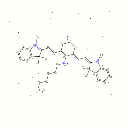 CCN1/C(=C/C=C2\CCCC(/C=C/C3=[N+](CC)c4ccccc4C3(C)C)=C2NCCCCCC(=O)O)C(C)(C)c2ccccc21.[I-]